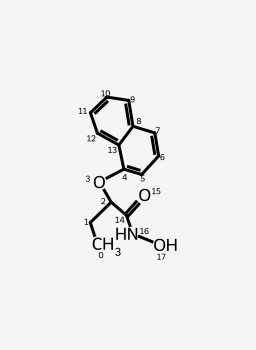 CCC(Oc1cccc2ccccc12)C(=O)NO